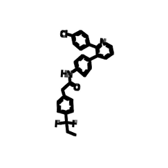 CCC(F)(F)c1ccc(CC(=O)Nc2ccc(-c3cccnc3-c3ccc(Cl)cc3)cc2)cc1